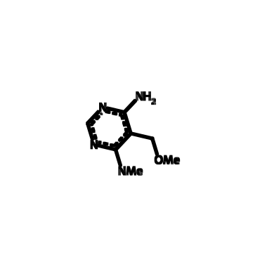 CNc1ncnc(N)c1COC